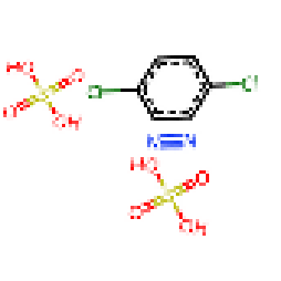 Clc1ccc(Cl)cc1.N#N.O=S(=O)(O)O.O=S(=O)(O)O